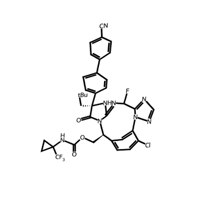 CC(C)(C)C[C@]1(c2ccc(-c3ccc(C#N)cc3)cc2)N/C2=N\C(F)c3ncnn3-c3cc(ccc3Cl)[C@@H](COC(=O)NC3(C(F)(F)F)CC3)N2C1=O